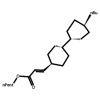 CCCCCOC(=O)C=C[C@H]1CC[C@H]([C@H]2CC[C@H](CCCC)CC2)CC1